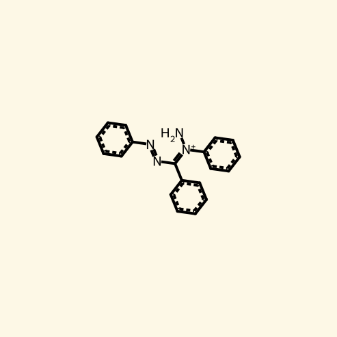 N[N+](=C(N=Nc1ccccc1)c1ccccc1)c1ccccc1